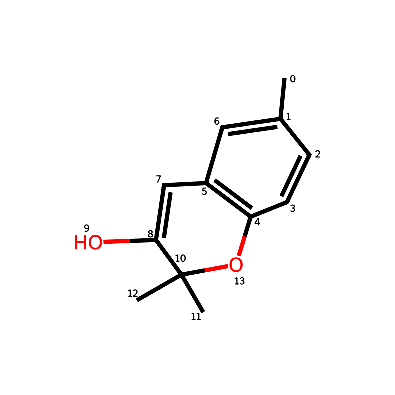 Cc1ccc2c(c1)C=C(O)C(C)(C)O2